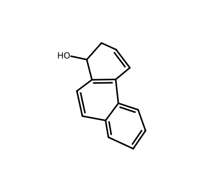 OC1CC=Cc2c1ccc1ccccc21